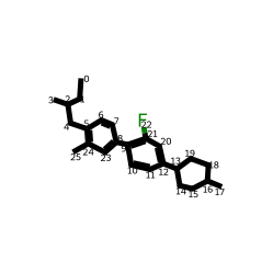 CCC(C)Cc1ccc(-c2ccc(C3CCC(C)CC3)cc2F)cc1C